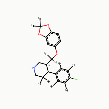 [2H]c1c([2H])c(C2[C@H](C([2H])([2H])Oc3ccc4c(c3)OC([2H])([2H])O4)CNCC2([2H])[2H])c([2H])c([2H])c1F